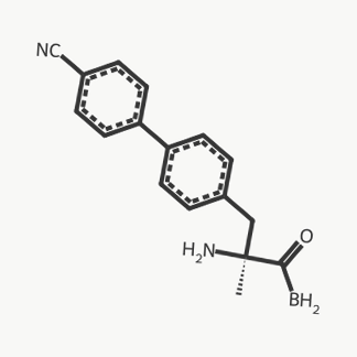 BC(=O)[C@@](C)(N)Cc1ccc(-c2ccc(C#N)cc2)cc1